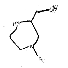 CC(=O)N1CCNC(CO)C1